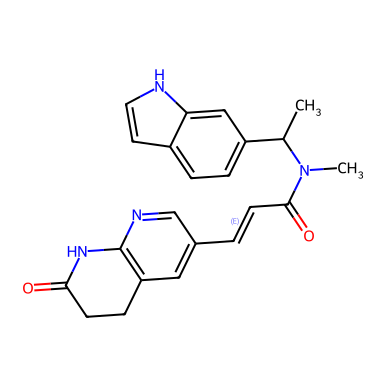 CC(c1ccc2cc[nH]c2c1)N(C)C(=O)/C=C/c1cnc2c(c1)CCC(=O)N2